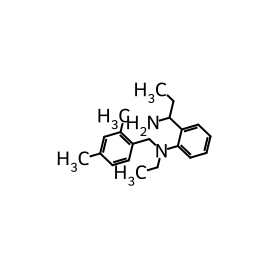 CCC(N)c1ccccc1N(CC)Cc1ccc(C)cc1C